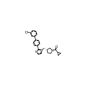 O=C(C1CC1)N1CC[C@H](Cn2ccnc2-c2ccc(-c3cccc(Cl)c3)cc2)C1